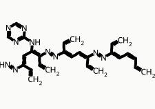 C=C/C=C\C=C(/C=C)N=N/C(C=C)=C/C=C(\C=C)N=N/C(C=C)=C(/C=C(\C=C)N=N)Nc1ncncn1